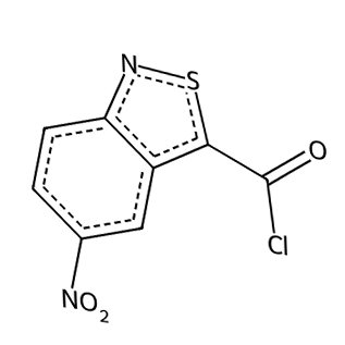 O=C(Cl)c1snc2ccc([N+](=O)[O-])cc12